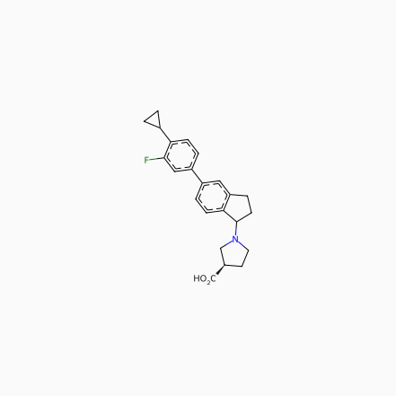 O=C(O)[C@@H]1CCN(C2CCc3cc(-c4ccc(C5CC5)c(F)c4)ccc32)C1